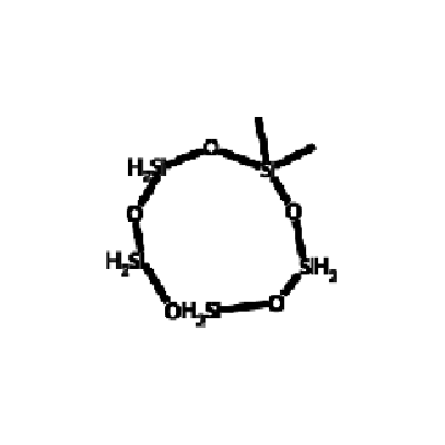 C[Si]1(C)O[SiH2]O[SiH2]O[SiH2]O[SiH2]O1